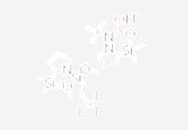 CC(C)(C)N(C(=O)O)N1CCCC1[Si](C)(C)C.CO[Si](CCC(F)(F)F)(OC)N1CCCC1[Si](C)(C)C